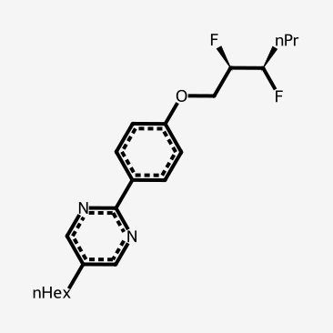 CCCCCCc1cnc(-c2ccc(OC[C@@H](F)[C@H](F)CCC)cc2)nc1